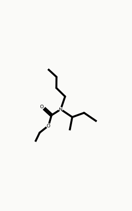 CCCCN(C(=O)OCC)C(C)CC